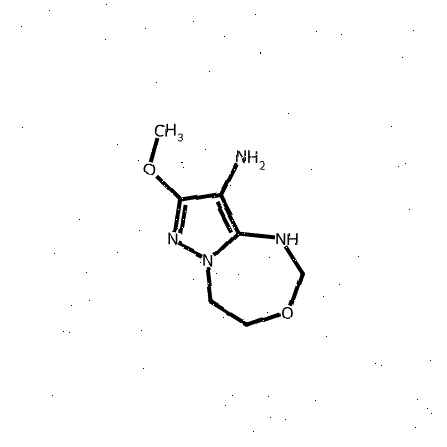 COc1nn2c(c1N)NCOCC2